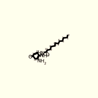 CCCCCCCCCCCC(=O)NNC1=C(N)CC(=O)C=C1